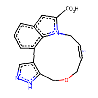 O=C(O)c1cc2cccc3c2n1C/C=C\COCc1[nH]ncc1-3